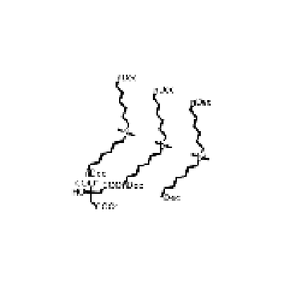 CCCCCCCCCCCCCCCC[N+](C)(C)CCCCCCCCCCCCCCCC.CCCCCCCCCCCCCCCC[N+](C)(C)CCCCCCCCCCCCCCCC.CCCCCCCCCCCCCCCC[N+](C)(C)CCCCCCCCCCCCCCCC.O=C([O-])CC(O)(CC(=O)[O-])C(=O)[O-]